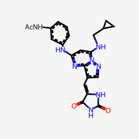 CC(=O)Nc1cccc(Nc2cc(NCC3CC3)n3ncc(/C=C4\NC(=O)NC4=O)c3n2)c1